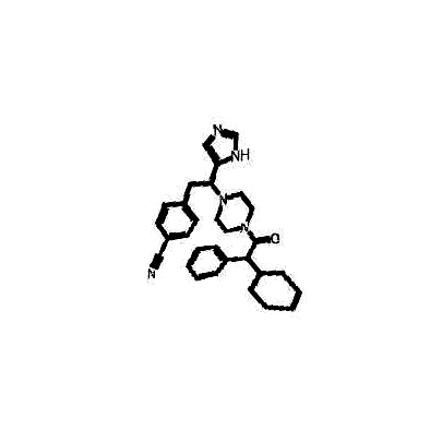 N#Cc1ccc(CC(c2cnc[nH]2)N2CCN(C(=O)C(c3ccccc3)C3CCCCC3)CC2)cc1